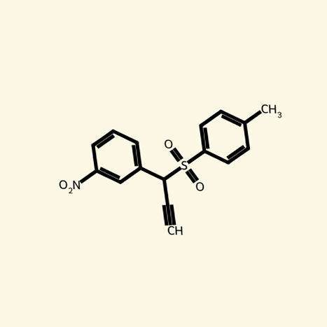 C#CC(c1cccc([N+](=O)[O-])c1)S(=O)(=O)c1ccc(C)cc1